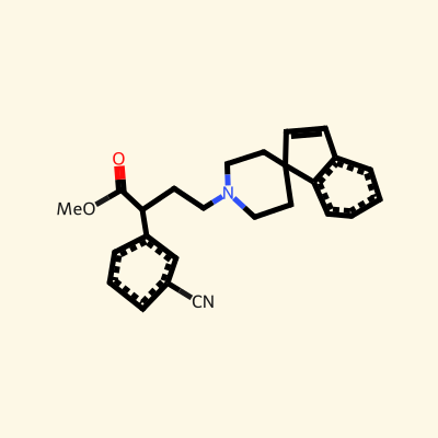 COC(=O)C(CCN1CCC2(C=Cc3ccccc32)CC1)c1cccc(C#N)c1